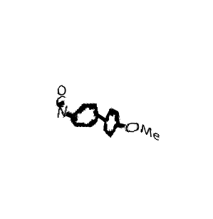 COc1ccc(-c2ccc(N=C=O)cc2)cc1